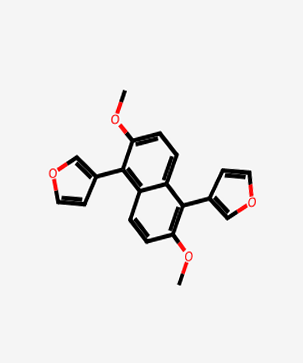 COc1ccc2c(-c3ccoc3)c(OC)ccc2c1-c1ccoc1